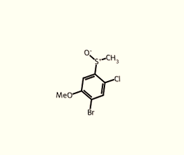 COc1cc([S+](C)[O-])c(Cl)cc1Br